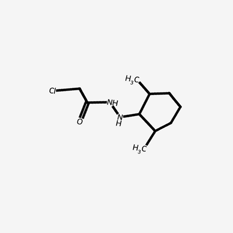 CC1CCCC(C)C1NNC(=O)CCl